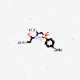 COc1ccc(S(=O)(=O)CC(NC(=O)CNC(C)=O)C(=O)O)cc1